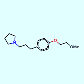 COCCOc1ccc(CCCN2CCCC2)cc1